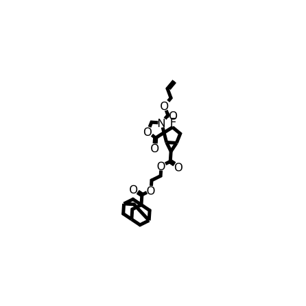 C=CCOC(=O)N1COC(=O)C12C(F)CC1C(C(=O)OCCOC(=O)C34CC5CC(CC(C5)C3)C4)C12